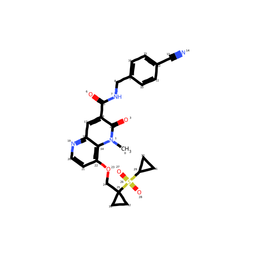 Cn1c(=O)c(C(=O)NCc2ccc(C#N)cc2)cc2nccc(OCC3(S(=O)(=O)C4CC4)CC3)c21